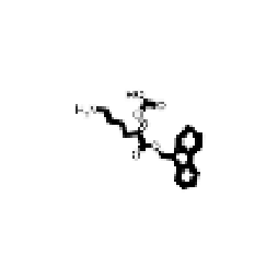 NCCCCC(OOC(=O)O)C(=O)OCC1c2ccccc2-c2ccccc21